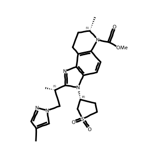 COC(=O)N1c2ccc3c(nc([C@@H](C)Cn4cc(C)cn4)n3[C@@H]3CCS(=O)(=O)C3)c2CC[C@@H]1C